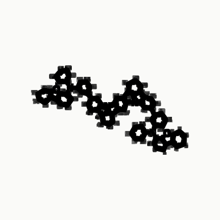 C1=CC2c3ccccc3OC2C(N(c2ccccc2)c2cccc(-c3ccc4c5cccc6c7cc8c(cc7n(c4c3)c56)c3cccc4c5ccc(-c6cccc(N(c7ccccc7)c7cccc9c7oc7ccccc79)c6)cc5n8c43)c2)=C1